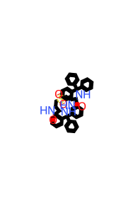 O=C1NC(CS(=O)(=O)CC2NC(=O)[C@@H]2NC(c2ccccc2)(c2ccccc2)c2ccccc2)[C@H]1NC(c1ccccc1)(c1ccccc1)c1ccccc1